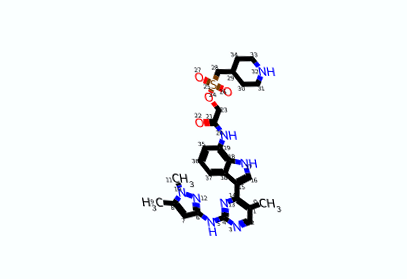 Cc1cnc(Nc2cc(C)n(C)n2)nc1-c1c[nH]c2c(NC(=O)COS(=O)(=O)CC3CCNCC3)cccc12